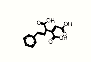 O=C(O)C=C(C(=O)O)C(C=Cc1ccccc1)C(=O)O